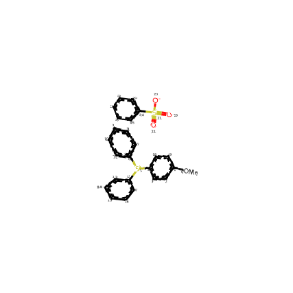 COc1ccc([S+](c2ccccc2)c2ccccc2)cc1.O=S(=O)([O-])c1ccccc1